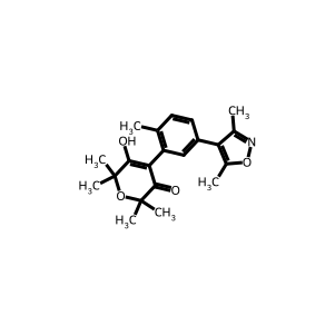 Cc1ccc(-c2c(C)noc2C)cc1C1=C(O)C(C)(C)OC(C)(C)C1=O